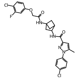 Cc1cc(C(=O)NC2CC3(NC(=O)COc4ccc(Cl)c(F)c4)CC2C3)nn1-c1ccc(Cl)cc1